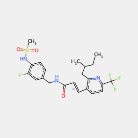 CCC(C)Cc1nc(C(F)(F)F)ccc1/C=C/C(=O)NCc1ccc(NS(C)(=O)=O)c(F)c1